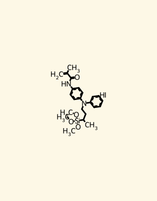 C=C(C)C(=O)Nc1ccc(N(CCC(C)[Si](OC)(OC)OC)c2ccccc2)cc1.I